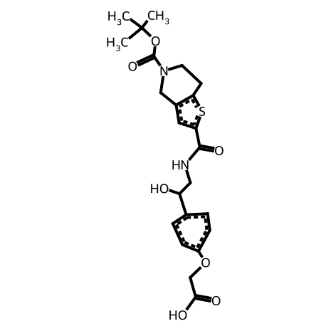 CC(C)(C)OC(=O)N1CCc2sc(C(=O)NCC(O)c3ccc(OCC(=O)O)cc3)cc2C1